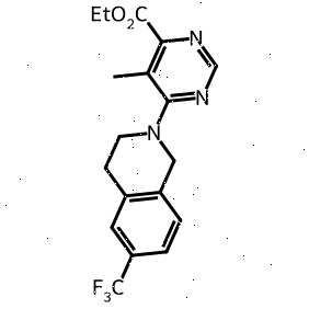 CCOC(=O)c1ncnc(N2CCc3cc(C(F)(F)F)ccc3C2)c1C